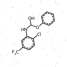 OC(Nc1cc(C(F)(F)F)ccc1Cl)Oc1ccccc1